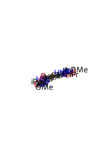 COC(=O)N[C@H](C(=O)N1CCC[C@H]1c1ncc(-c2ccc(-c3cc4sc(-c5cc(=O)[nH]c([C@@H]6CCCN6C(=O)[C@@H](NC(=O)OC)C(C)C)n5)cc4s3)cc2)[nH]1)C(C)C